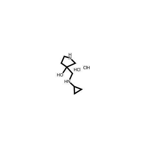 Cl.Cl.OC1(CNC2CC2)CCNC1